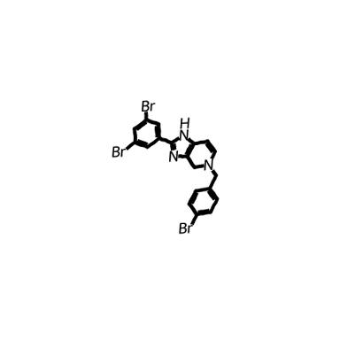 Brc1ccc(CN2C=Cc3[nH]c(-c4cc(Br)cc(Br)c4)nc3C2)cc1